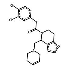 O=C(Cc1ccc(Cl)c(Cl)c1)N1CCc2occc2C1CN1CC=CCC1